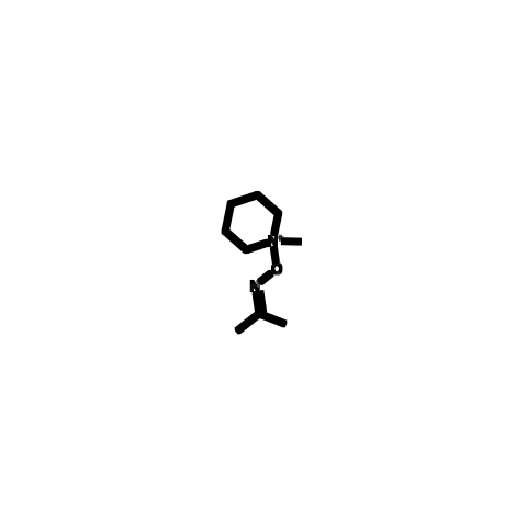 CC(C)=NO[N+]1(C)CCCCC1